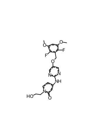 COc1cc(OC)c(F)c(COc2cnc(Nc3ccn(CCO)c(=O)c3)nc2)c1F